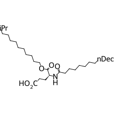 CCCCCCCCCCCCCCCCCC(=O)N[C@@H](CCC(=O)O)C(=O)OCCCCCCCCCCC(C)C